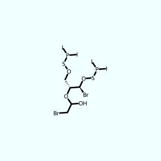 OC(CBr)O[C@H](COSP(I)I)[C@H](Br)OSP(I)I